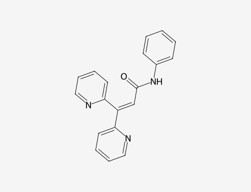 O=C(C=C(c1ccccn1)c1ccccn1)Nc1ccccc1